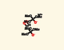 CC[O-].CC[O-].CO[Si]([O-])(OC)OC.CO[Si]([O-])(OC)OC.[Ti+4]